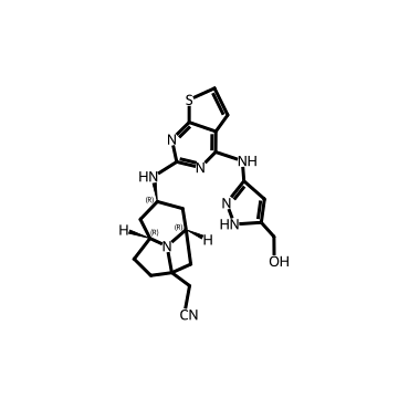 N#CCC12CC[C@@H]3C[C@@H](Nc4nc(Nc5cc(CO)[nH]n5)c5ccsc5n4)C[C@H](C1)N32